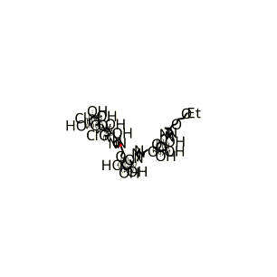 CCOCCOCc1cn(C[C@H]2O[C@H](OCc3cn(C[C@H]4O[C@H](OCc5cn(C[C@H]6O[C@@](CCl)(O[C@H]7O[C@H](CO)[C@H](Cl)[C@H](O)[C@H]7O)[C@@H](O)[C@@H]6O)nn5)[C@@H](O)[C@@H](O)[C@@H]4O)nn3)[C@@H](O)[C@@H](O)[C@@H]2O)nn1